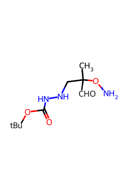 CC(C)(C)OC(=O)NNCC(C)(C=O)ON